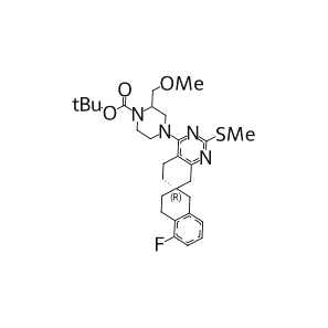 COCC1CN(c2nc(SC)nc3c2CC[C@]2(CCc4c(F)cccc4C2)C3)CCN1C(=O)OC(C)(C)C